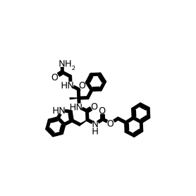 C[C@@](Cc1ccccc1)(NC(=O)[C@H](Cc1c[nH]c2ccccc12)NC(=O)OCc1cccc2ccccc12)C(=O)NCC(N)=O